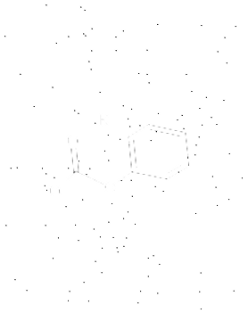 O=C([O-])Oc1ccccc1.[K+]